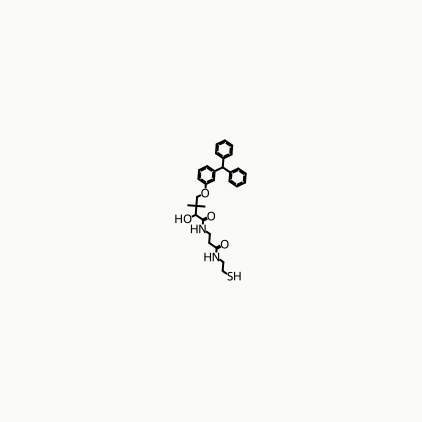 CC(C)(COc1cccc(C(c2ccccc2)c2ccccc2)c1)C(O)C(=O)NCCC(=O)NCCS